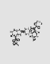 COC(=O)N1CC2(CCN(C3CC4CCCN(C(=O)OC)C4C3)CC2)c2cc(F)ccc21